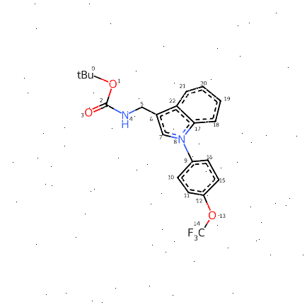 CC(C)(C)OC(=O)NCc1cn(-c2ccc(OC(F)(F)F)cc2)c2ccccc12